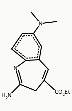 CCOC(=O)C1=Cc2cc(N(C)C)ccc2N=C(N)C1